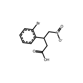 O=C(O)CC(C[N+](=O)[O-])c1ccccc1Br